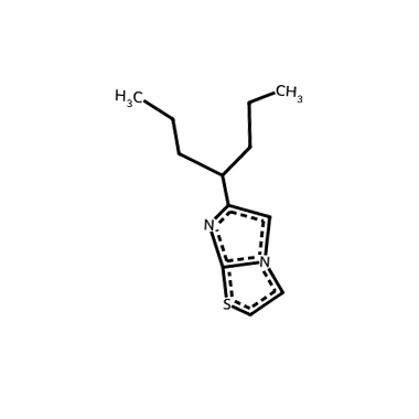 CCCC(CCC)c1cn2ccsc2n1